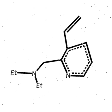 C=Cc1cccnc1CN(CC)CC